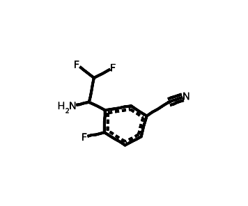 N#Cc1ccc(F)c(C(N)C(F)F)c1